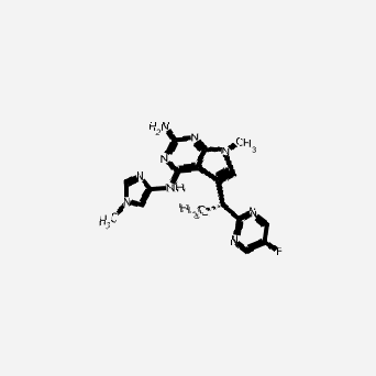 C[C@@H](c1ncc(F)cn1)c1cn(C)c2nc(N)nc(Nc3cn(C)cn3)c12